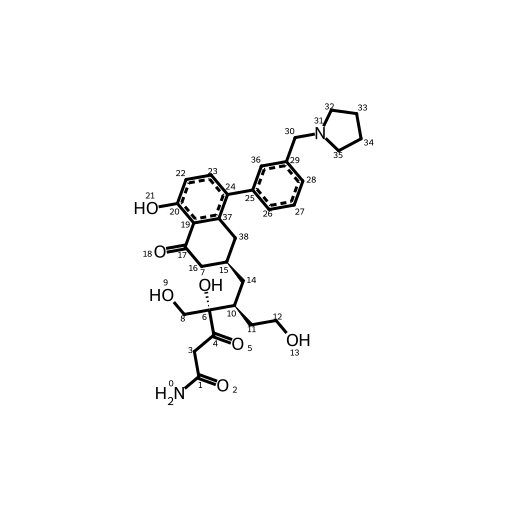 NC(=O)CC(=O)[C@@](O)(CO)[C@H](CCO)C[C@H]1CC(=O)c2c(O)ccc(-c3cccc(CN4CCCC4)c3)c2C1